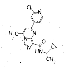 Cc1cc(-c2ccnc(Cl)c2)nc2c(C(=O)NC(C)C3CC3)ncn12